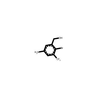 Nc1cc(CO)c(Br)c(C(F)(F)F)c1